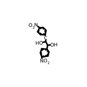 O=[N+]([O-])c1ccc(CC(O)C(O)c2ccc([N+](=O)[O-])cc2)cc1